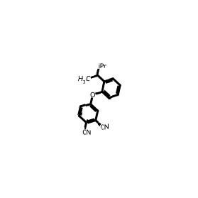 CC(C)C(C)c1ccccc1Oc1ccc(C#N)c(C#N)c1